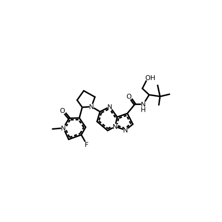 Cn1cc(F)cc(C2CCCN2c2ccn3ncc(C(=O)NC(CO)C(C)(C)C)c3n2)c1=O